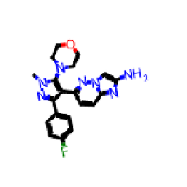 Cn1nc(-c2ccc(F)cc2)c(-c2ccc3nc(N)cn3n2)c1N1CCOCC1